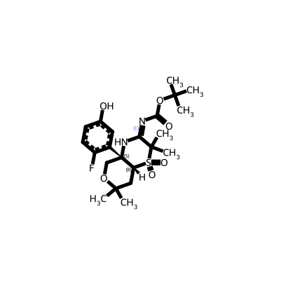 CC(C)(C)OC(=O)/N=C1/N[C@@]2(c3cc(O)ccc3F)COC(C)(C)C[C@H]2S(=O)(=O)C1(C)C